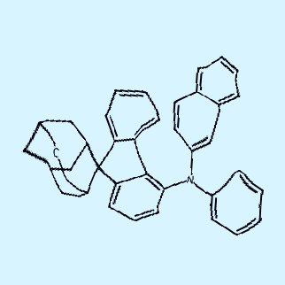 c1ccc(N(c2ccc3ccccc3c2)c2cccc3c2-c2ccccc2C32C3CCC4CC(C3)CC2C4)cc1